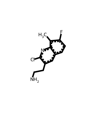 Cc1c(F)ccc2cc(CCN)c(Cl)nc12